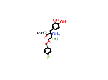 COC(=O)[C@@](N)(CCOC(=O)c1ccc(F)cc1)Cc1ccc(O)c(O)c1.Cl